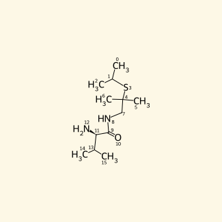 CC(C)SC(C)(C)CNC(=O)[C@H](N)C(C)C